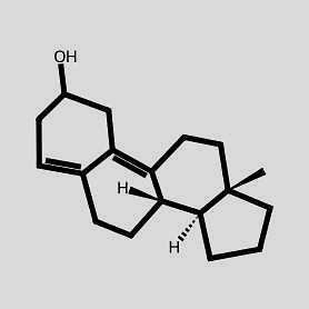 C[C@@]12CCC[C@H]1[C@@H]1CCC3=CCC(O)CC3=C1CC2